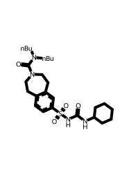 CCCCN(CCCC)C(=O)N1CCc2ccc(S(=O)(=O)NC(=O)NC3CCCCC3)cc2CC1